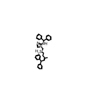 CC(=CC(c1ccccc1)c1ccccc1)CC[SiH2]Cn1ccnc1BC(c1ccccc1)c1ccccc1